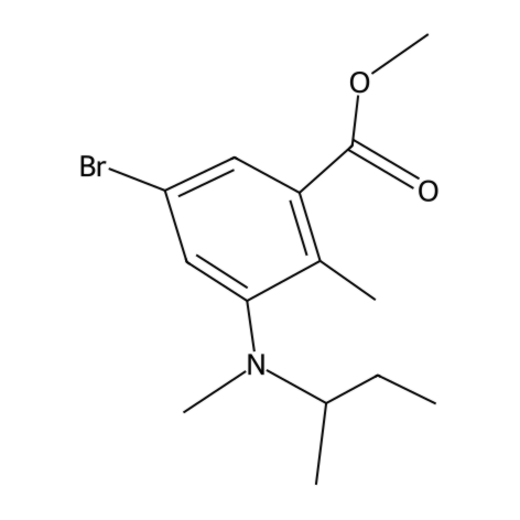 CCC(C)N(C)c1cc(Br)cc(C(=O)OC)c1C